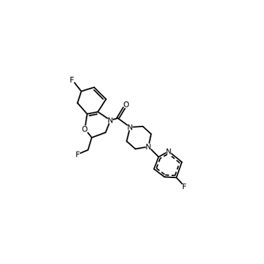 O=C(N1CCN(c2ccc(F)cn2)CC1)N1CC(CF)OC2=C1C=CC(F)C2